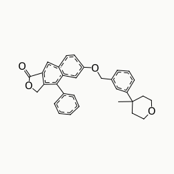 CC1(c2cccc(COc3ccc4cc5c(c(-c6ccccc6)c4c3)COC5=O)c2)CCOCC1